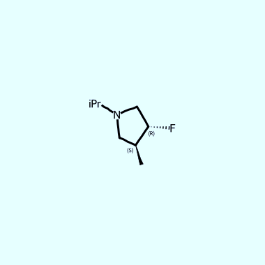 CC(C)N1C[C@H](C)[C@@H](F)C1